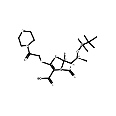 C[C@H](O[Si](C)(C)C(C)(C)C)[C@@H]1C(=O)N2C(C(=O)O)=C(SCC(=O)N3CCOCC3)S[C@H]12